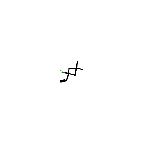 C=CC1(F)CC(C)(C)C1